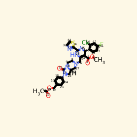 COC(=O)C1=C(CN2CCN3C(=O)N(c4ccc(COC(C)=O)cc4)C[C@@H]3C2)NC(c2nccs2)=N[C@H]1c1ccc(F)cc1Cl